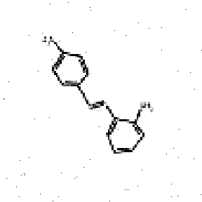 Nc1ccccc1/N=N/c1ccc([N+](=O)[O-])cc1